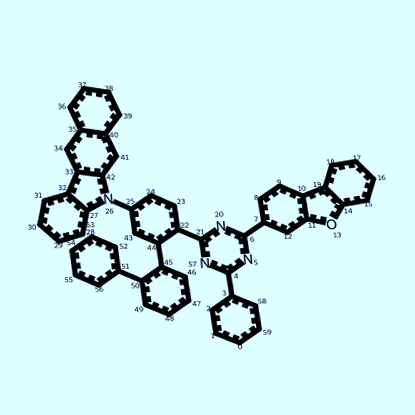 c1ccc(-c2nc(-c3ccc4c(c3)oc3ccccc34)nc(-c3ccc(-n4c5ccccc5c5cc6ccccc6cc54)cc3-c3ccccc3-c3ccccc3)n2)cc1